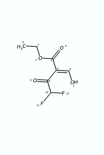 CCOC(=O)C(=CO)C(=O)C(F)F